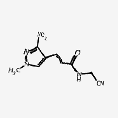 Cn1cc(C=CC(=O)NCC#N)c([N+](=O)[O-])n1